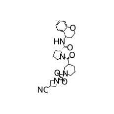 N#CC1CN(S(=O)(=O)N2CCC[C@H](C(=O)N3CCC[C@@H]3C(=O)NC3CCOc4ccccc43)C2)C1